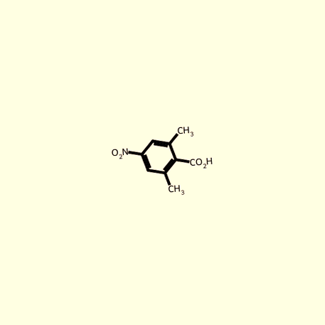 Cc1cc([N+](=O)[O-])cc(C)c1C(=O)O